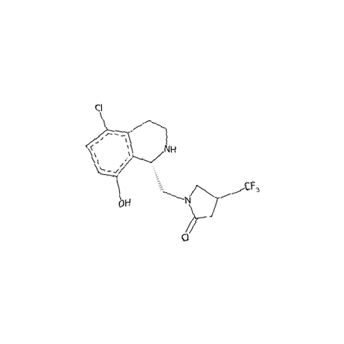 O=C1CC(C(F)(F)F)CN1C[C@H]1NCCc2c(Cl)ccc(O)c21